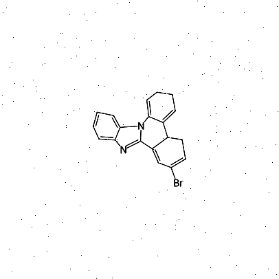 BrC1=CCC2C3=CCCC=C3n3c(nc4ccccc43)C2=C1